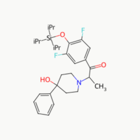 CC(C(=O)c1cc(F)c(O[Si](C(C)C)(C(C)C)C(C)C)c(F)c1)N1CCC(O)(c2ccccc2)CC1